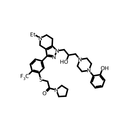 CCN1CCc2c(c(-c3ccc(C(F)(F)F)c(SCC(=O)N4CCCC4)c3)nn2CC(O)CN2CCN(c3ccccc3O)CC2)C1